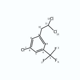 FC(F)(F)c1cc(Cl)cc([CH]C(Cl)Cl)c1